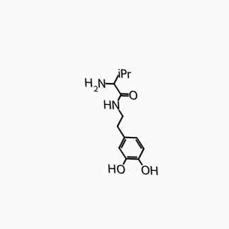 CC(C)C(N)C(=O)NCCc1ccc(O)c(O)c1